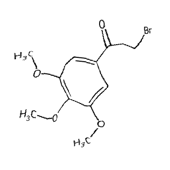 COc1cc(C(=O)CBr)cc(OC)c1OC